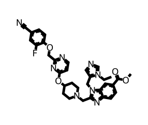 CCn1cncc1Cn1c(CN2CCC(Oc3ccnc(COc4ccc(C#N)cc4F)n3)CC2)nc2ccc(C(=O)OC)cc21